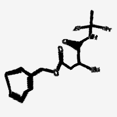 CCCC(C)(CC)NC(=O)C(CC(=O)OCc1ccccc1)C(C)CC